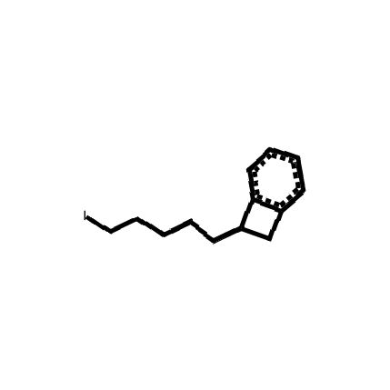 ICCCCCC1Cc2ccccc21